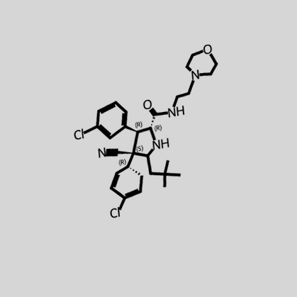 CC(C)(C)CC1N[C@@H](C(=O)NCCN2CCOCC2)[C@H](c2cccc(Cl)c2)[C@@]1(C#N)[C@H]1C=CC(Cl)=CC1